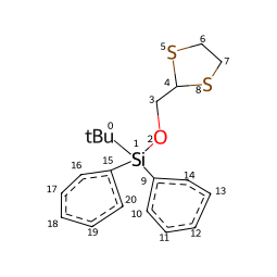 CC(C)(C)[Si](OCC1SCCS1)(c1ccccc1)c1ccccc1